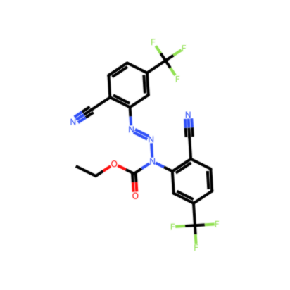 CCOC(=O)N(/N=N/c1cc(C(F)(F)F)ccc1C#N)c1cc(C(F)(F)F)ccc1C#N